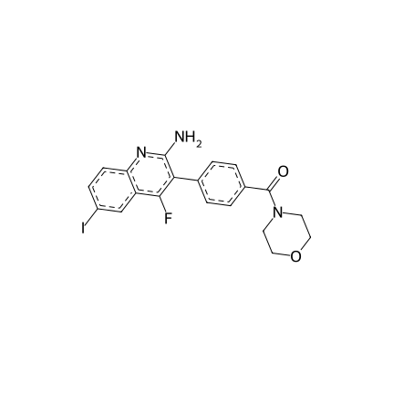 Nc1nc2ccc(I)cc2c(F)c1-c1ccc(C(=O)N2CCOCC2)cc1